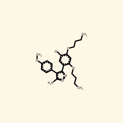 CCCCOc1cc(OCCCC)c(-c2noc(N)c2-c2ccc(OC)cc2)cc1Cl